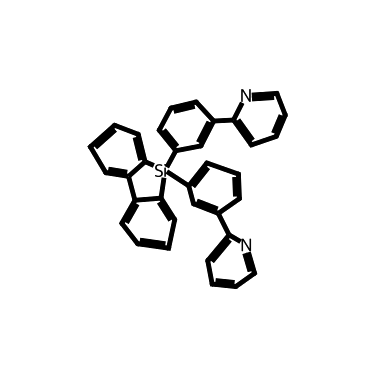 c1ccc(-c2cccc([Si]3(c4cccc(-c5ccccn5)c4)c4ccccc4-c4ccccc43)c2)nc1